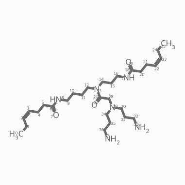 CC/C=C\CCC(=O)NCCCCN(CCCNC(=O)CC/C=C\CC)C(=O)CN(CCCN)CCCN